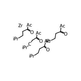 CC(=O)C(=O)CCC(C)C.CC(=O)C(=O)CCC(C)C.CC(=O)C(=O)CCC(C)C.CC(=O)C(=O)CCC(C)C.[Zr]